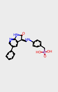 O=C1Nc2ncc(-c3ccccc3)cc2C1=CNc1ccc(CP(=O)(O)O)cc1